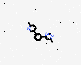 Cc1ccc(-c2cccc(-c3cc(C)ncn3)c2)cn1